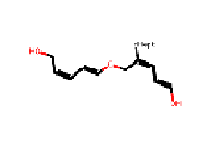 CCCCCCC/C(=C/C=C/O)CO/C=C/C=C\CO